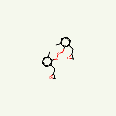 Cc1cccc(CC2CO2)c1OOOc1c(C)cccc1CC1CO1